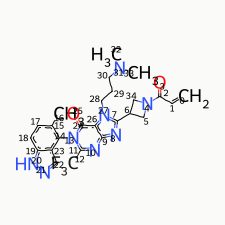 C=CC(=O)N1CC(c2nc3nc(C(F)(F)F)n(-c4c(C)ccc5[nH]ncc45)c(=O)c3n2CCCN(C)C)C1